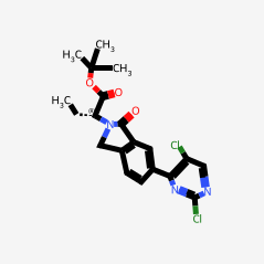 CC[C@H](C(=O)OC(C)(C)C)N1Cc2ccc(-c3nc(Cl)ncc3Cl)cc2C1=O